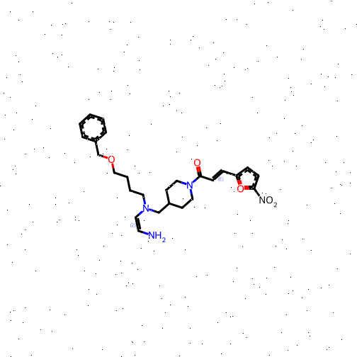 N/C=C\N(CCCCOCc1ccccc1)CC1CCN(C(=O)/C=C/c2ccc([N+](=O)[O-])o2)CC1